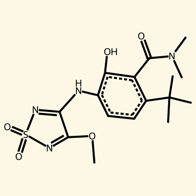 COC1=NS(=O)(=O)N=C1Nc1ccc(C(C)(C)C)c(C(=O)N(C)C)c1O